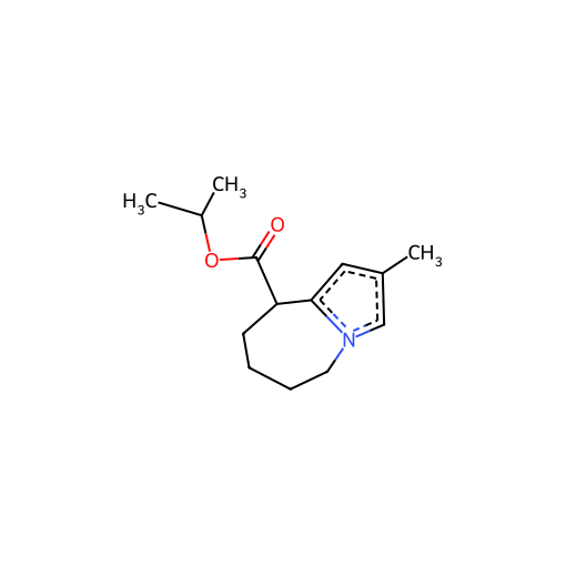 Cc1cc2n(c1)CCCCC2C(=O)OC(C)C